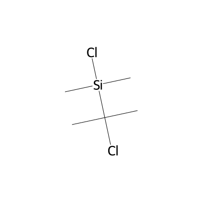 CC(C)(Cl)[Si](C)(C)Cl